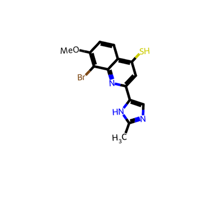 COc1ccc2c(S)cc(-c3cnc(C)[nH]3)nc2c1Br